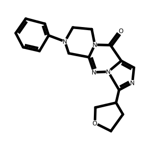 O=c1c2cnc(C3CCOC3)n2nc2n1CCN(c1ccccc1)C2